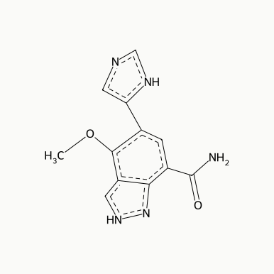 COc1c(-c2cnc[nH]2)cc(C(N)=O)c2n[nH]cc12